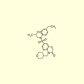 CCc1ccc(N(CC(C)C)S(=O)(=O)c2ccc3c(c2)SCC(=O)N3CC2CCOCC2)cc1